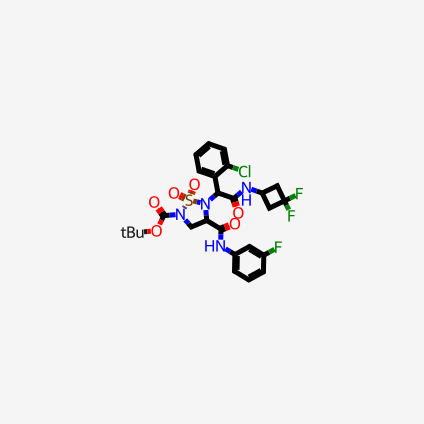 CC(C)(C)OC(=O)N1CC(C(=O)Nc2cccc(F)c2)N(C(C(=O)NC2CC(F)(F)C2)c2ccccc2Cl)S1(=O)=O